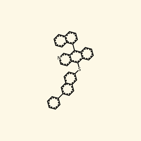 c1ccc(-c2ccc3cc(Sc4c5ccccc5c(-c5cccc6ccccc56)c5cnccc45)ccc3c2)cc1